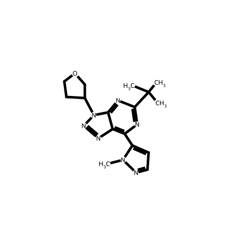 Cn1nccc1-c1nc(C(C)(C)C)nc2c1nnn2C1CCOC1